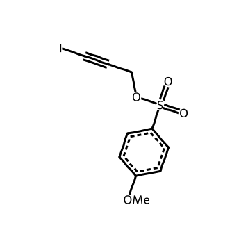 COc1ccc(S(=O)(=O)OCC#CI)cc1